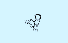 O=C(O)NC(CO)c1ccccn1